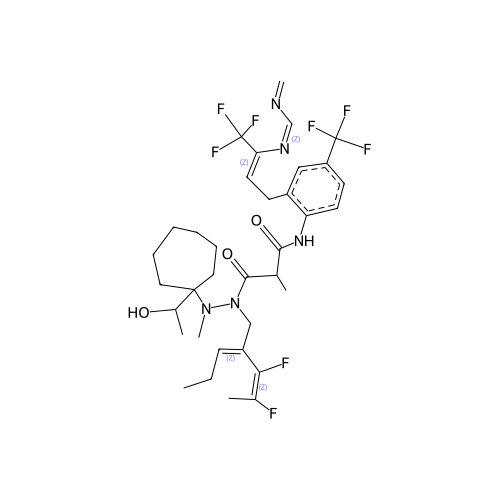 C=N/C=N\C(=C/Cc1cc(C(F)(F)F)ccc1NC(=O)C(C)C(=O)N(CC(=C/CC)/C(F)=C(\C)F)N(C)C1(C(C)O)CCCCCC1)C(F)(F)F